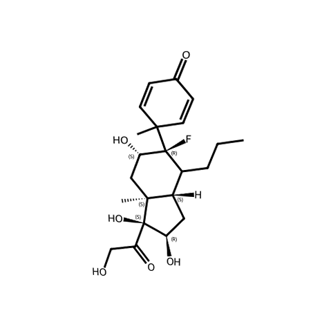 CCCC1[C@@H]2C[C@@H](O)[C@](O)(C(=O)CO)[C@@]2(C)C[C@H](O)[C@]1(F)C1(C)C=CC(=O)C=C1